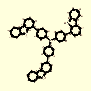 c1ccc2c(c1)sc1ccc(-c3ccc(N(c4ccc(-c5cccc6c5sc5ccccc56)cc4)c4ccc(-c5cccc6c5sc5ccccc56)cc4)cc3)cc12